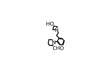 O=CC1CCCCN1c1ccccc1CCN1CC(O)C1